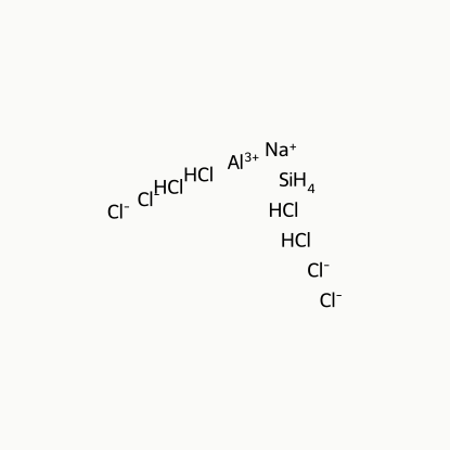 Cl.Cl.Cl.Cl.[Al+3].[Cl-].[Cl-].[Cl-].[Cl-].[Na+].[SiH4]